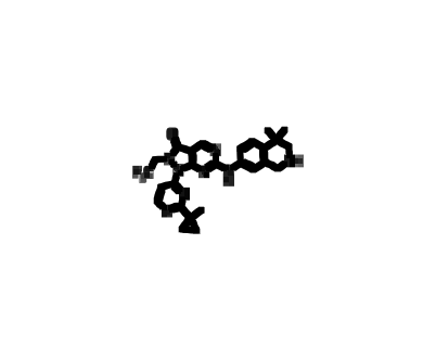 CC1(C)CNCc2cc(Nc3ncc4c(=O)n(CC(F)(F)F)n(-c5ccnc(C6(C)CC6)n5)c4n3)ccc21